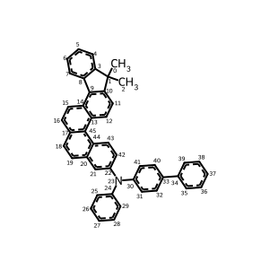 CC1(C)c2ccccc2-c2c1ccc1c2ccc2ccc3cc(N(c4ccccc4)c4ccc(-c5ccccc5)cc4)ccc3c21